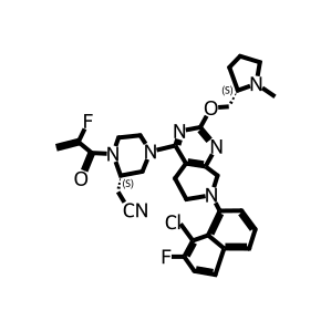 C=C(F)C(=O)N1CCN(c2nc(OC[C@@H]3CCCN3C)nc3c2CCN(c2cccc4ccc(F)c(Cl)c24)C3)C[C@@H]1CC#N